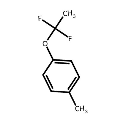 Cc1ccc(OC(C)(F)F)cc1